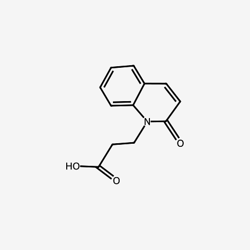 O=C(O)CCn1c(=O)ccc2ccccc21